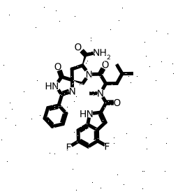 CC(C)CC(C(=O)N1C[C@@]2(C[C@H]1C(N)=O)N=C(c1ccccc1)NC2=O)N(C)C(=O)c1cc2c(F)cc(F)cc2[nH]1